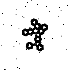 c1ccc(-n2c3ccccc3c3cc4c5cc6ccccc6cc5n(-c5nc6ccccc6nc5-c5cccc6ccccc56)c4cc32)cc1